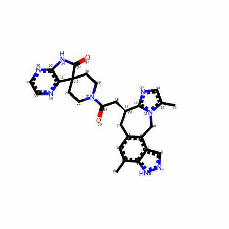 Cc1cc2c(c3cn[nH]c13)Cn1c(C)cnc1[C@H](CC(=O)N1CCC3(CC1)C(=O)Nc1nccnc13)C2